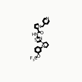 O=C(Nc1nc([C@H]2CCCN2c2cccc(OC(F)(F)F)c2)cs1)c1cccn1Cc1ccncc1